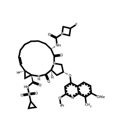 COc1ccc2c(O[C@@H]3C[C@H]4C(=O)N[C@]5(C(=O)NS(=O)(=O)C6CC6)C[C@H]5C=CCCCCC[C@H](NC(=O)N5CC(F)C5)C(=O)N4C3)cc(OC(C)C)nc2c1C